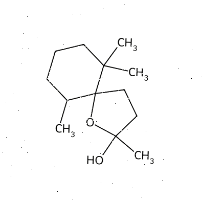 CC1CCCC(C)(C)C12CCC(C)(O)O2